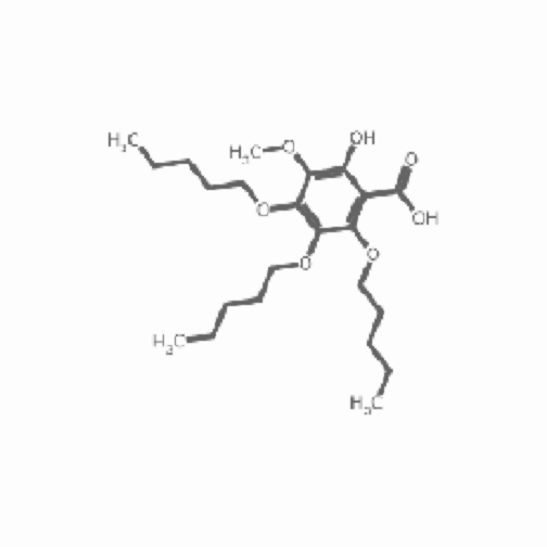 CCCCCOc1c(OC)c(O)c(C(=O)O)c(OCCCCC)c1OCCCCC